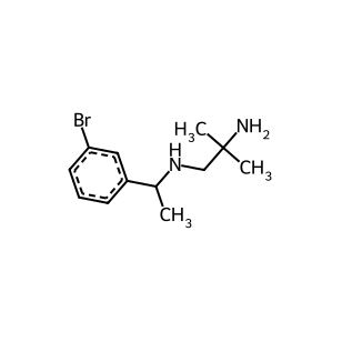 CC(NCC(C)(C)N)c1cccc(Br)c1